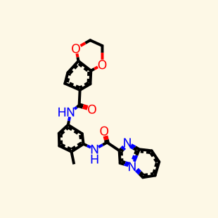 Cc1ccc(NC(=O)c2ccc3c(c2)OCCO3)cc1NC(=O)c1cn2ccccc2n1